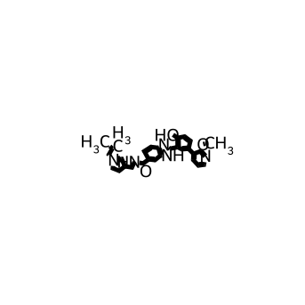 COc1ncccc1-c1ccc(O)c(-c2nc3ccc(C(=O)NCC4CCN(CC(C)C)C4)cc3[nH]2)c1